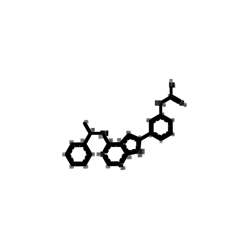 CCC(=O)Nc1cccc(-c2cc3c(NC(C)c4ccccc4)ncnc3[nH]2)c1